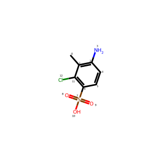 Cc1c(N)ccc(S(=O)(=O)O)c1Cl